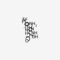 Cc1nc2c(c(N[C@H](C)c3cc(N)cc(C(F)(F)F)c3)n1)C=C(C1=CCOCC1)C(O)N2